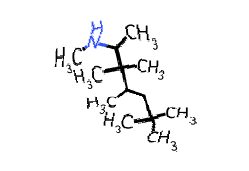 CNC(C)C(C)(C)C(C)CC(C)(C)C